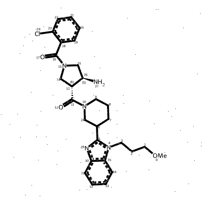 COCCCn1c(C2CCCN(C(=O)[C@@H]3CN(C(=O)c4ccccc4Cl)C[C@H]3N)C2)nc2ccccc21